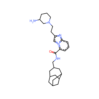 NC1CCCN(CCc2cn3c(C(=O)NCC4CC5CC6CC(C4)C(C5)C6)cccc3n2)C1